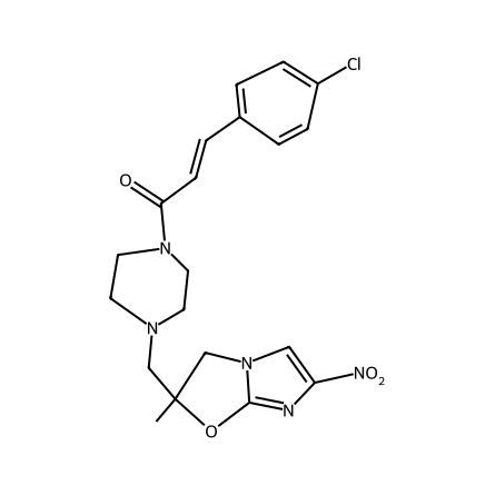 CC1(CN2CCN(C(=O)C=Cc3ccc(Cl)cc3)CC2)Cn2cc([N+](=O)[O-])nc2O1